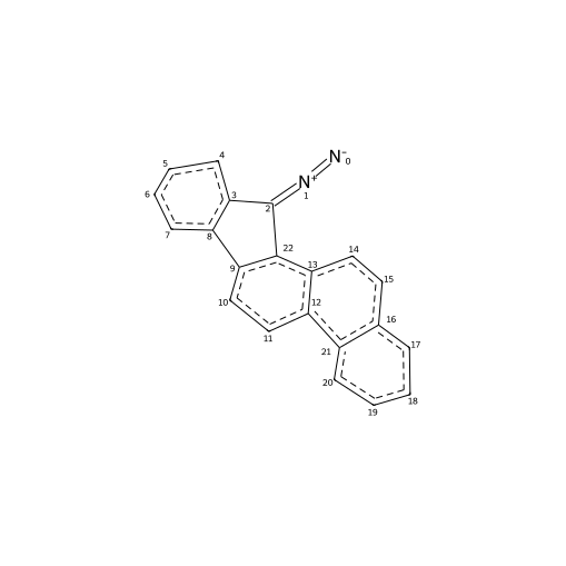 [N-]=[N+]=C1c2ccccc2-c2ccc3c(ccc4ccccc43)c21